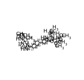 COC(=O)N[C@H](C(=O)N1CCC[C@H]1c1nc(-c2ccc3cc(-c4ccc5nc([C@@H]6C[Si](C)(C)CN6C(=O)[C@@H](NC(=O)OC)C(C)OC)[nH]c5c4)ccc3c2)c[nH]1)C(C)C